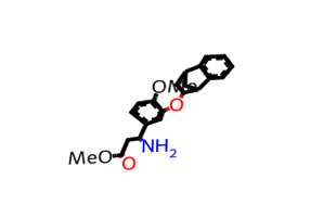 COC(=O)CC(N)c1ccc(OC)c(OC2CC3CC2c2ccccc23)c1